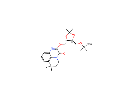 CC1(C)O[C@@H](COc2nc3cccc4c3n(c2=O)CCC4(C)C)[C@H](CO[Si](C)(C)C(C)(C)C)O1